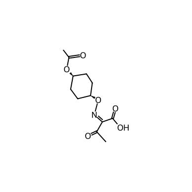 CC(=O)O[C@H]1CC[C@@H](O/N=C(/C(C)=O)C(=O)O)CC1